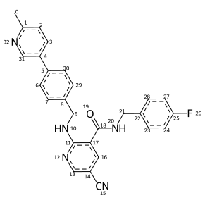 Cc1ccc(-c2ccc(CNc3ncc(C#N)cc3C(=O)NCc3ccc(F)cc3)cc2)cn1